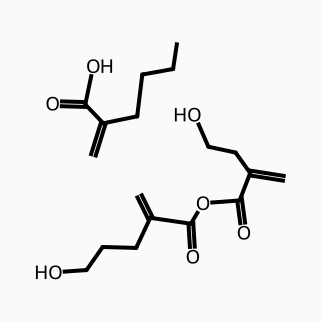 C=C(CCCC)C(=O)O.C=C(CCO)C(=O)OC(=O)C(=C)CCCO